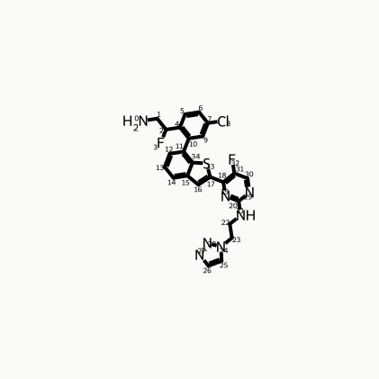 NCC(F)c1ccc(Cl)cc1-c1cccc2cc(-c3nc(NCCn4ccnn4)ncc3F)sc12